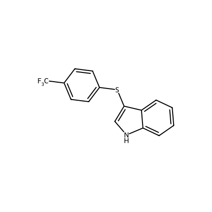 FC(F)(F)c1ccc(Sc2c[nH]c3ccccc23)cc1